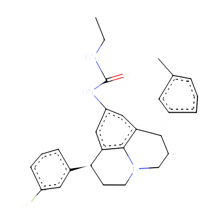 CCNC(=O)Nc1cc2c3c(c1)[C@H](c1cccc(F)c1)CCN3CC[C@H]2c1cccc(C)c1